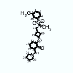 Cc1cccc(S(=O)(=O)N(C)CC2CC(Oc3cccc(CN4CCCC4)c3Cl)C2)c1